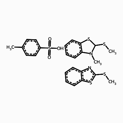 CSC1Sc2ccccc2N1C.CSc1nc2ccccc2s1.Cc1ccc(S(=O)(=O)O)cc1